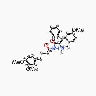 COc1ccc2c(c1)C(c1ccccc1)=C(C(=O)NC(=O)CCCc1ccc(OC)c(OC)c1)N(C)C2